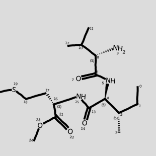 CC[C@H](C)[C@H](NC(=O)[C@@H](N)C(C)C)C(=O)N[C@@H](CCSC)C(=O)OC